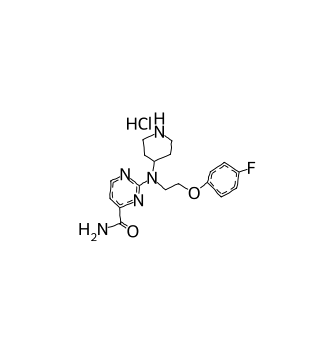 Cl.NC(=O)c1ccnc(N(CCOc2ccc(F)cc2)C2CCNCC2)n1